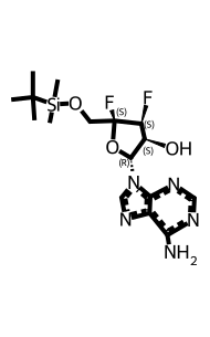 CC(C)(C)[Si](C)(C)OC[C@@]1(F)O[C@@H](n2cnc3c(N)ncnc32)[C@H](O)[C@@H]1F